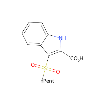 CCCCCS(=O)(=O)c1c(C(=O)O)[nH]c2ccccc12